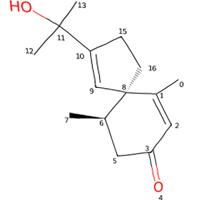 CC1=CC(=O)C[C@@H](C)[C@@]12C=C(C(C)(C)O)CC2